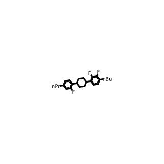 CCCCc1ccc(C2CCC(c3ccc(CCC)cc3F)CC2)c(F)c1F